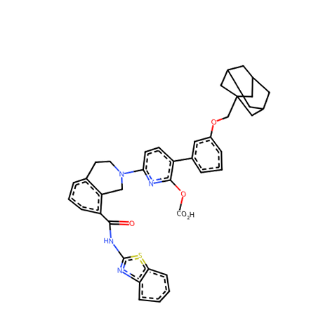 O=C(O)Oc1nc(N2CCc3cccc(C(=O)Nc4nc5ccccc5s4)c3C2)ccc1-c1cccc(OCC23CC4CC(CC(C4)C2)C3)c1